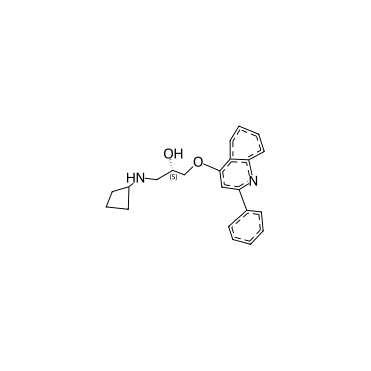 O[C@@H](CNC1CCC1)COc1cc(-c2ccccc2)nc2ccccc12